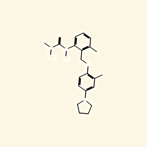 Cc1cc(N2CCCC2)ccc1OCc1c(C)cccc1N(N)C(=O)N(C)N